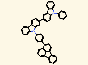 c1ccc(-n2c3ccccc3c3cc(-c4ccc5c6ccccc6n(-c6ccc(-c7ccc8c9c(cccc79)-c7ccccc7-8)cc6)c5c4)ccc32)cc1